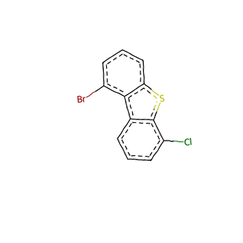 Clc1cccc2c1sc1cccc(Br)c12